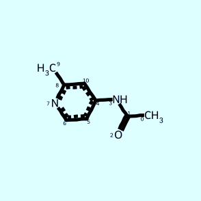 CC(=O)Nc1ccnc(C)c1